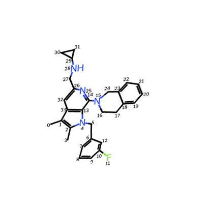 Cc1c(C)n(Cc2cccc(F)c2)c2c(N3CCc4ccccc4C3)nc(CNC3CC3)cc12